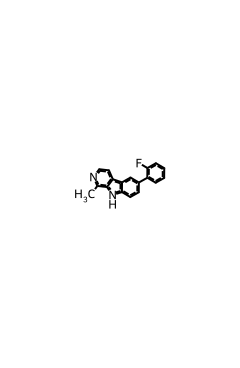 Cc1nccc2c1[nH]c1ccc(-c3ccccc3F)cc12